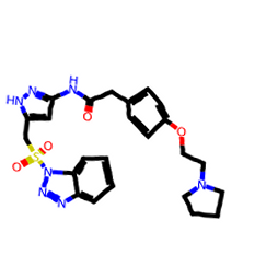 O=C(Cc1ccc(OCCN2CCCC2)cc1)Nc1cc(CS(=O)(=O)n2nnc3ccccc32)[nH]n1